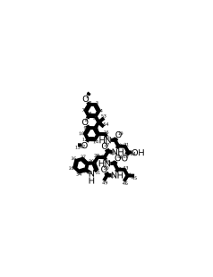 COc1ccc2c(c1)Oc1cc(OC)cc(CNC(=O)C(CC(=O)O)NC(=O)C(Cc3c[nH]c4ccccc34)NC(=O)C(CC(C)C)NC(C)=O)c1C2(C)C